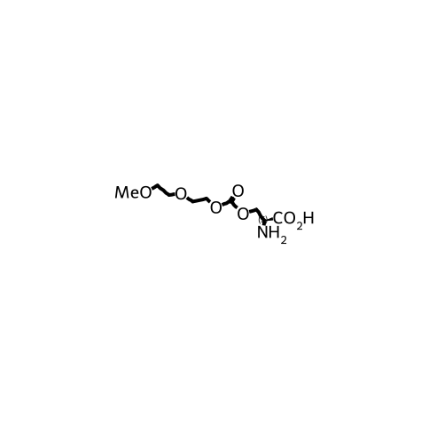 COCCOCCOC(=O)OC[C@H](N)C(=O)O